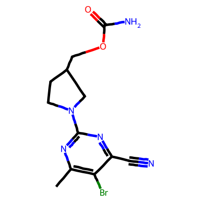 Cc1nc(N2CCC(COC(N)=O)C2)nc(C#N)c1Br